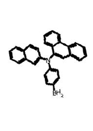 Bc1ccc(N(c2ccc3ccccc3c2)c2cc3ccccc3c3ccccc23)cc1